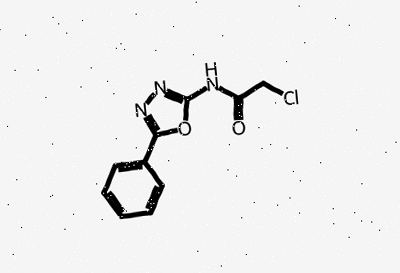 O=C(CCl)Nc1nnc(-c2ccccc2)o1